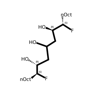 CCCCCCCC[C@H](F)[C@H](O)CC(O)C[C@@H](O)[C@@H](F)CCCCCCCC